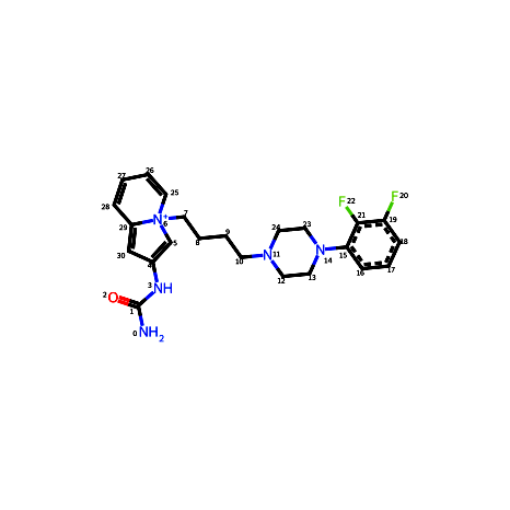 NC(=O)NC1=C[N+]2(CCCCN3CCN(c4cccc(F)c4F)CC3)C=CC=CC2=C1